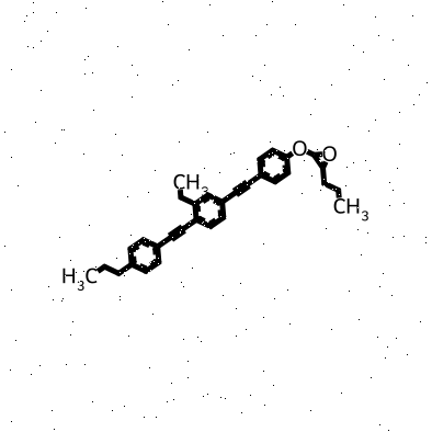 CCCc1ccc(C#Cc2ccc(C#Cc3ccc(OC4OC4CCC)cc3)cc2CC)cc1